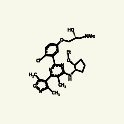 CCO[C@H]1CCC[C@H]1Nc1nc(-c2cc(OC[C@H](O)CNC)ccc2Cl)nc(-c2c(C)noc2C)c1C